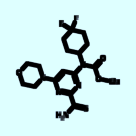 CC(C)(C)OC(=O)N(c1cc(N2CCOCC2)nc(C(N)=S)n1)C1CCC(F)(F)CC1